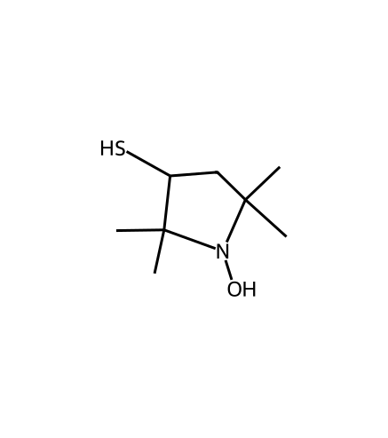 CC1(C)CC(S)C(C)(C)N1O